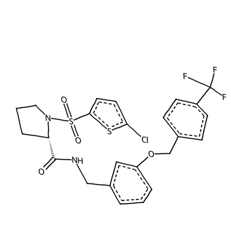 O=C(NCc1cccc(OCc2ccc(C(F)(F)F)cc2)c1)[C@@H]1CCCN1S(=O)(=O)c1ccc(Cl)s1